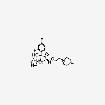 CCC(=NOCCN1CCN(C)CC1)C1(C(O)(Cn2cncn2)c2ccc(F)cc2F)CC1